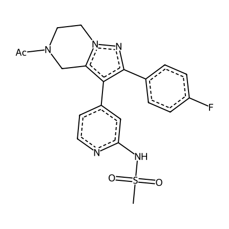 CC(=O)N1CCn2nc(-c3ccc(F)cc3)c(-c3ccnc(NS(C)(=O)=O)c3)c2C1